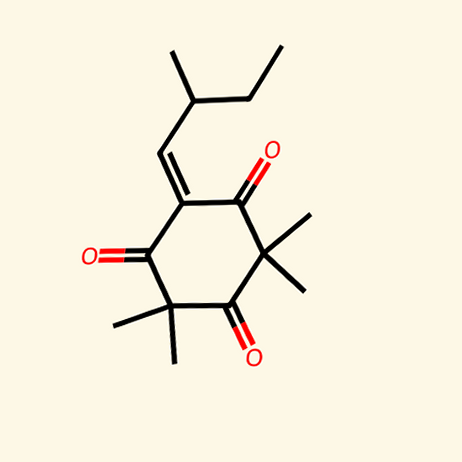 CCC(C)C=C1C(=O)C(C)(C)C(=O)C(C)(C)C1=O